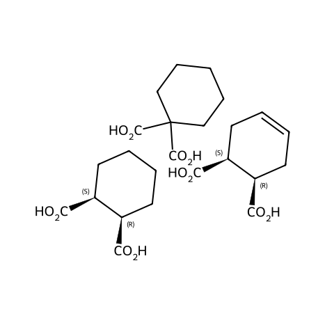 O=C(O)C1(C(=O)O)CCCCC1.O=C(O)[C@H]1CC=CC[C@H]1C(=O)O.O=C(O)[C@H]1CCCC[C@H]1C(=O)O